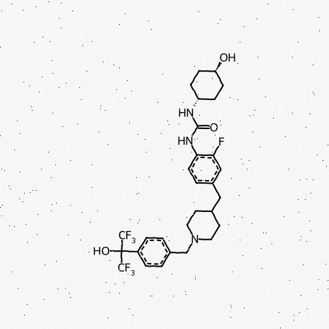 O=C(Nc1ccc(CC2CCN(Cc3ccc(C(O)(C(F)(F)F)C(F)(F)F)cc3)CC2)cc1F)N[C@H]1CC[C@H](O)CC1